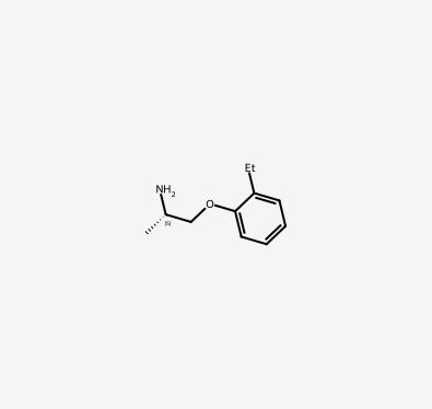 CCc1ccccc1OC[C@H](C)N